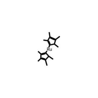 CC1=C(C)C(C)[C]([Ru][C]2=C(C)C(C)=C(C)C2C)=C1C